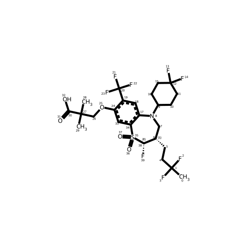 CC(F)(F)CC[C@H]1CN(C2CCC(F)(F)CC2)c2cc(C(F)(F)F)c(OCC(C)(C)C(=O)O)cc2S(=O)(=O)[C@H]1F